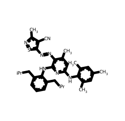 Cc1cc(C)c(Nc2cc(C)c(N=Nc3snc(C)c3C#N)c(Nc3c(CC(C)C)cccc3CC(C)C)n2)c(C)c1